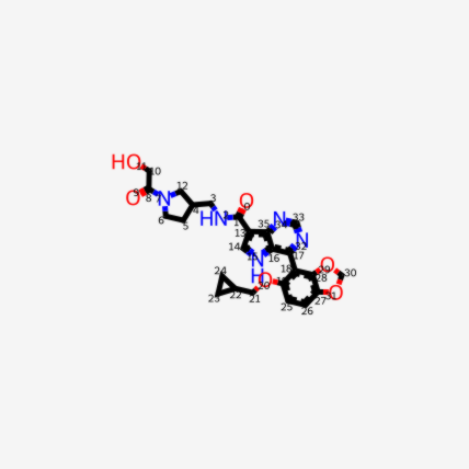 O=C(NCC1CCN(C(=O)CO)C1)c1c[nH]c2c(-c3c(OCC4CC4)ccc4c3OCO4)ncnc12